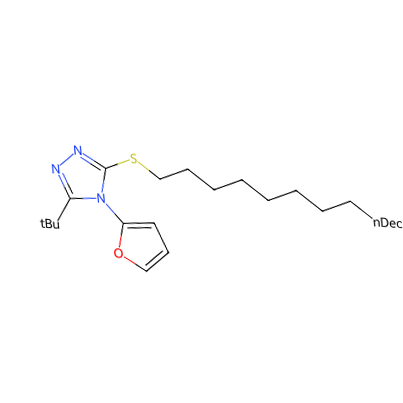 CCCCCCCCCCCCCCCCCCSc1nnc(C(C)(C)C)n1-c1ccco1